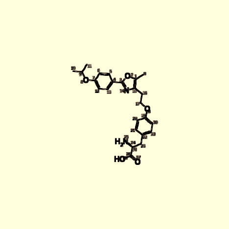 Cc1oc(-c2ccc(OC(C)C)cc2)nc1CCOc1ccc(C[C@H](N)C(=O)O)cc1